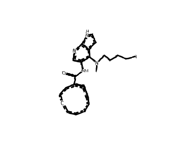 CN(CCCCI)c1c(NC(=O)c2ccccccccc2)cnc2[nH]ccc12